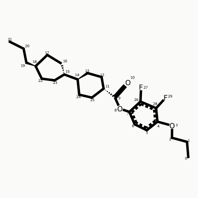 CCCOc1ccc(OC(=O)[C@H]2CC[C@H]([C@H]3CC[C@H](CCC)CC3)CC2)c(F)c1F